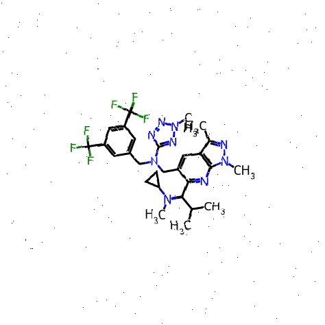 Cc1nn(C)c2nc(C(C(C)C)N(C)C3CC3)c(CN(Cc3cc(C(F)(F)F)cc(C(F)(F)F)c3)c3nnn(C)n3)cc12